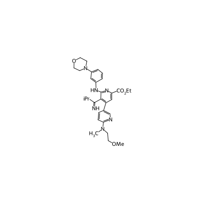 CCOC(=O)c1cc(-c2ccc(N(C)CCOC)nc2)c(C(=N)C(C)C)c(Nc2cccc(N3CCOCC3)c2)n1